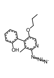 CCCOc1cnc(N=[N+]=[N-])c(C)c1-c1ccccc1O